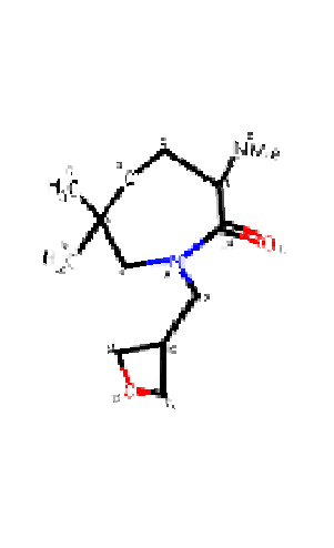 CNC1CCC(C)(C)CN(CC2COC2)C1=O